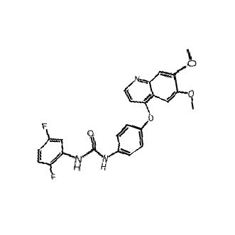 COc1cc2nccc(Oc3ccc(NC(=O)Nc4cc(F)ccc4F)cc3)c2cc1OC